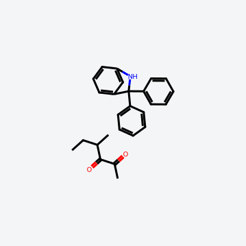 CCC(C)C(=O)C(C)=O.c1ccc(C2(c3ccccc3)Nc3cccc2c3)cc1